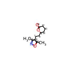 Cc1noc(C)c1CCC1CCCC(=O)O1